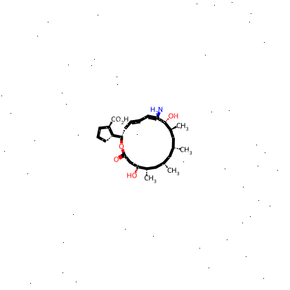 C[C@@H]1C[C@H](C)C[C@H](C)[C@@H](O)CC(=O)O[C@H]([C@@H]2CCC[C@H]2C(=O)O)C/C=C/C=C(/N)[C@H](O)[C@@H](C)C1